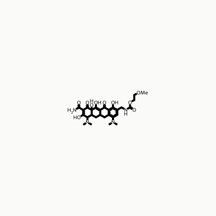 COCCOC(=O)NCc1cc(N(C)C)c2c(c1O)C(=O)C1=C(O)C3(O)C(=O)C(C(N)=O)=C(O)C(N(C)C)C3CC1C2